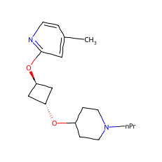 CCCN1CCC(O[C@H]2C[C@H](Oc3cc(C)ccn3)C2)CC1